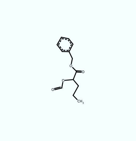 CCCC(O[C]=O)C(=O)OCc1ccccc1